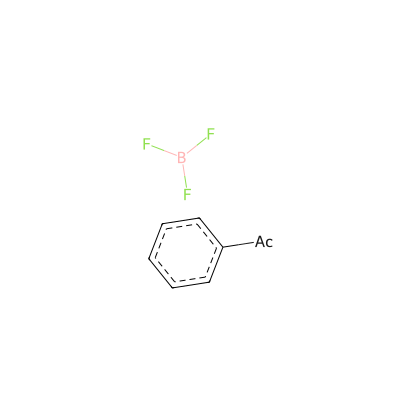 CC(=O)c1ccccc1.FB(F)F